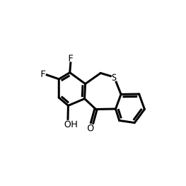 O=C1c2ccccc2SCc2c(F)c(F)cc(O)c21